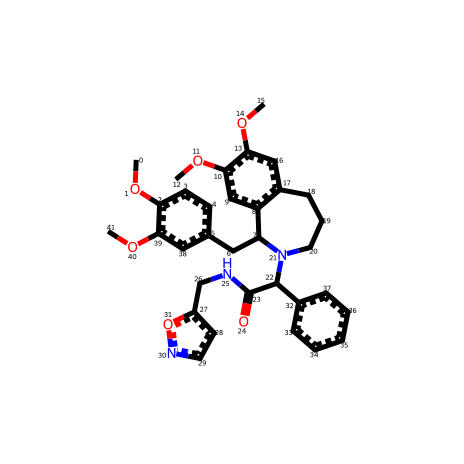 COc1ccc(CC2c3cc(OC)c(OC)cc3CCCN2C(C(=O)NCc2ccno2)c2ccccc2)cc1OC